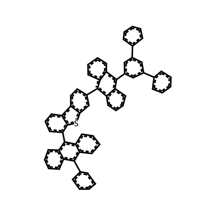 c1ccc(-c2cc(-c3ccccc3)cc(-c3c4ccccc4c(-c4ccc5c(c4)sc4c(-c6c7ccccc7c(-c7ccccc7)c7ccccc67)cccc45)c4ccccc34)c2)cc1